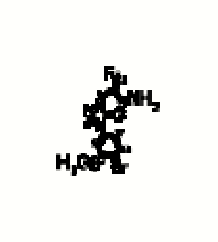 COc1cc(-n2cnn(C/C(=C\F)CN)c2=O)ccc1Br